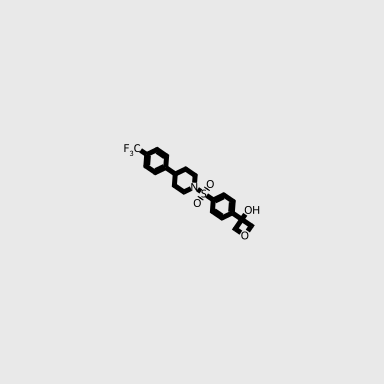 O=S(=O)(c1ccc(C2(O)COC2)cc1)N1CCC(c2ccc(C(F)(F)F)cc2)CC1